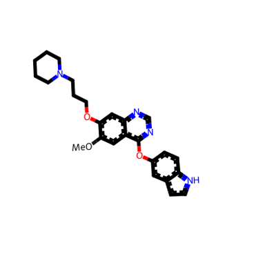 COc1cc2c(Oc3ccc4[nH]ccc4c3)ncnc2cc1OCCCN1CCCCC1